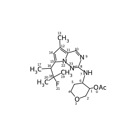 CC(=O)OC1COCCC1Nc1ncc2c(C)cc(C(C)C(C)(C)F)n2n1